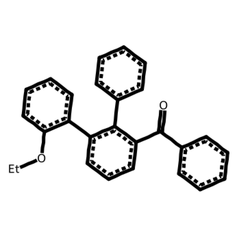 CCOc1ccccc1-c1cccc(C(=O)c2ccccc2)c1-c1ccccc1